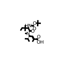 CCC(C)(C)C(NC(=O)OC(C)(C)C)C(=O)N(C)[C@H](C=C(C)C(=O)O)C(C)C